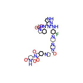 CS(=O)(=O)N1CCc2cccc(Nc3nc(Nc4ccc(N5CCC(N6CCN(C(=O)[C@@H]7CCN(c8ccc9c(c8)C(=O)N(C8CCC(=O)NC8=O)C9=O)C7)CC6)CC5)c(F)c4)nc4[nH]ccc34)c21